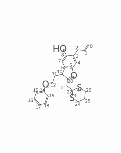 C=CCc1cc2c(cc1O)C(CCOc1ccccc1)C(CC1SCCCS1)O2